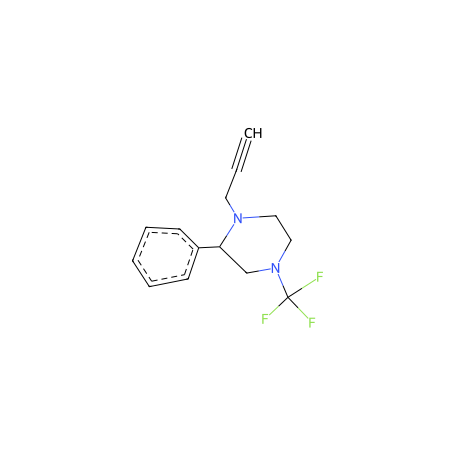 C#CCN1CCN(C(F)(F)F)CC1c1ccccc1